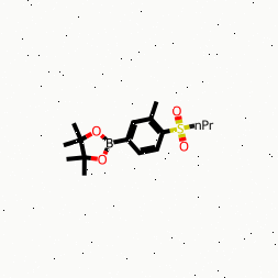 CCCS(=O)(=O)c1ccc(B2OC(C)(C)C(C)(C)O2)cc1C